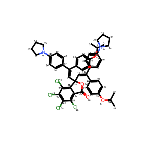 CC(C)Oc1ccc(/C(=C\C2(/C=C(\c3ccc(OC(C)C)cc3)c3ccc(N4CCCC4)cc3)OC(=O)c3c(Cl)c(Cl)c(Cl)c(Cl)c32)c2ccc(N3CCCC3)cc2)cc1